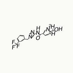 [2H]C([2H])(O)c1ccc(C(=O)Nc2cn(Cc3cccc(C(F)(F)F)c3)cn2)cn1